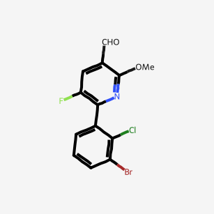 COc1nc(-c2cccc(Br)c2Cl)c(F)cc1C=O